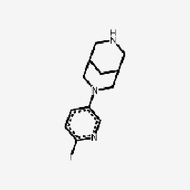 Ic1ccc(N2CC3CNCC(C3)C2)cn1